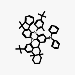 Cc1cc(C(C)(C)C)ccc1N1c2cc(N(c3ccccc3)c3ccccc3)cc3c2B(c2cc(C(C)(C)C)cc4c2C3CC2(C)CCCCC42C)c2ccc3c(c21)-c1ccccc1C3(C)C